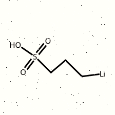 [Li][CH2]CCS(=O)(=O)O